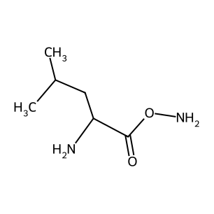 CC(C)CC(N)C(=O)ON